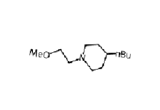 CCCCC1CCN(CCOC)CC1